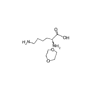 C1COCCO1.NCCCC[C@H](N)C(=O)O